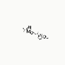 CCOc1cccc(C(C)CCOc2cncc(C(C)C)n2)n1